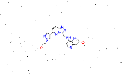 COCCn1cc(-c2ccc3nnc(CNc4ccnc5cc(OC)cnc45)n3n2)cn1